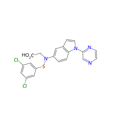 O=C(O)CN(Sc1cc(Cl)cc(Cl)c1)c1ccc2c(ccn2-c2cnccn2)c1